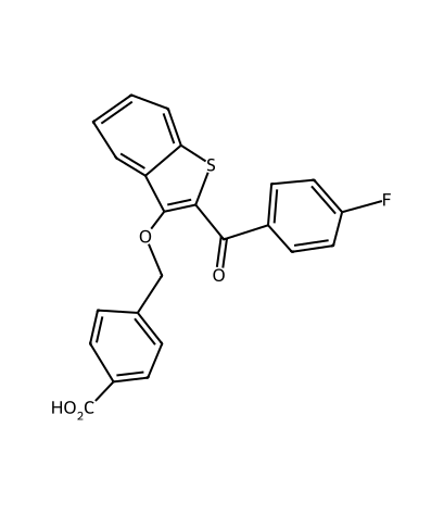 O=C(O)c1ccc(COc2c(C(=O)c3ccc(F)cc3)sc3ccccc23)cc1